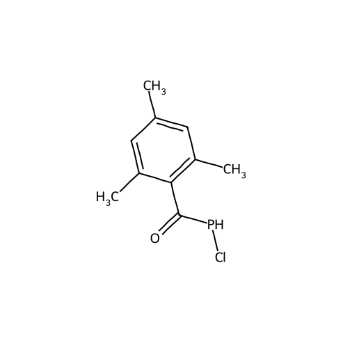 Cc1cc(C)c(C(=O)PCl)c(C)c1